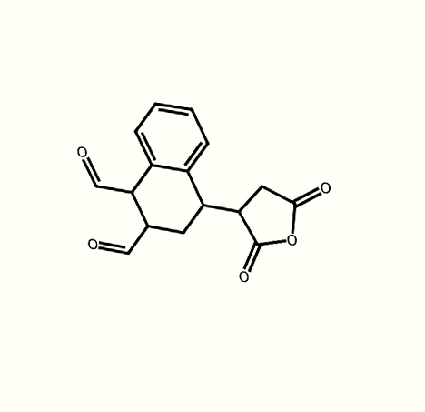 O=CC1CC(C2CC(=O)OC2=O)c2ccccc2C1C=O